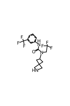 O=C(Nc1cccc(C(F)(F)F)c1)N(CC(F)(F)F)C1CC2(CNC2)C1